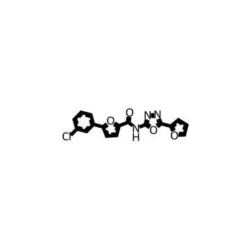 O=C(Nc1nnc(-c2ccco2)o1)c1ccc(-c2cccc(Cl)c2)o1